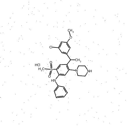 COc1cc(Cl)cc(C(C)c2cc(S(C)(=O)=O)c(Nc3ccccc3)cc2N2CCNCC2)c1.Cl